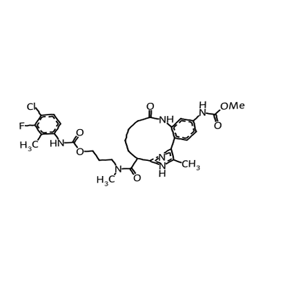 COC(=O)Nc1ccc2c(c1)NC(=O)CCCCC(C(=O)N(C)CCCOC(=O)Nc1ccc(Cl)c(F)c1C)c1nc-2c(C)[nH]1